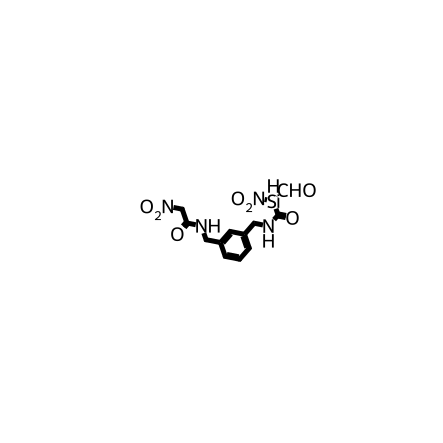 O=C[SiH](C(=O)NCc1cccc(CNC(=O)C[N+](=O)[O-])c1)[N+](=O)[O-]